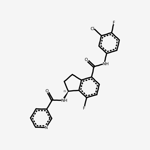 O=C(N[C@H]1CCc2c(C(=O)Nc3ccc(F)c(Cl)c3)ccc(F)c21)c1cccnc1